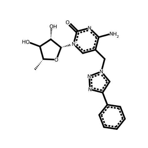 C[C@H]1O[C@@H](n2cc(Cn3cc(-c4ccccc4)nn3)c(N)nc2=O)[C@@H](O)C1O